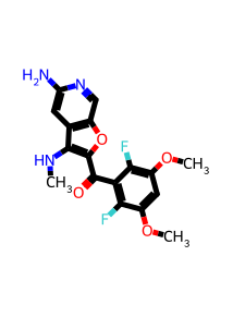 CNc1c(C(=O)c2c(F)c(OC)cc(OC)c2F)oc2cnc(N)cc12